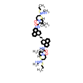 CCCSN(NC)[C@@H]1CCC(=O)N2[C@H](CC(C)(C)[C@H]2C(=O)Nc2ccc3cccc4c3c2C=C[C@@H]4CC[C@H]2C=Cc3c(NC(=O)[C@H]4N5C(=O)CC[C@@H](N(NC)SCCC)S[C@H]5CC4(C)C)ccc4cccc2c34)S1